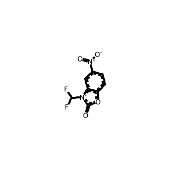 O=c1oc2ccc([N+](=O)[O-])cc2n1C(F)F